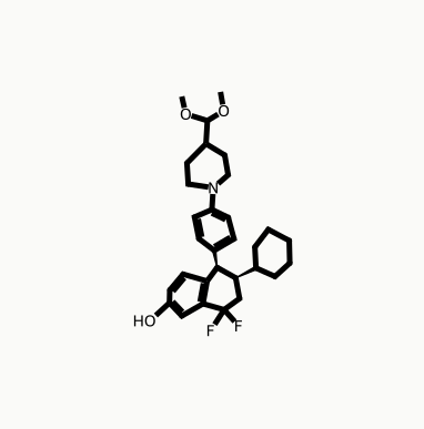 COC(OC)C1CCN(c2ccc([C@@H]3c4ccc(O)cc4C(F)(F)C[C@@H]3C3CCCCC3)cc2)CC1